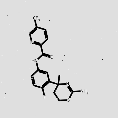 CC1(c2cc(NC(=O)c3ccc(C(F)(F)F)cn3)ccc2F)CCSC(N)=N1